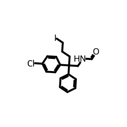 O=CNCC(CCCI)(c1ccccc1)c1ccc(Cl)cc1